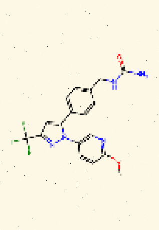 COc1ccc(-n2nc(C(F)(F)F)cc2-c2ccc(CNC(N)=O)cc2)cn1